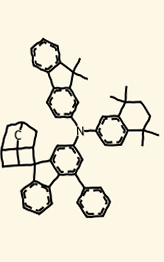 CC1(C)CCC(C)(C)c2cc(N(c3ccc4c(c3)C(C)(C)c3ccccc3-4)c3cc(-c4ccccc4)c4c(c3)C3(c5ccccc5-4)C4CC5CC6CC3C64C5)ccc21